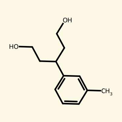 Cc1cccc(C(CCO)CCO)c1